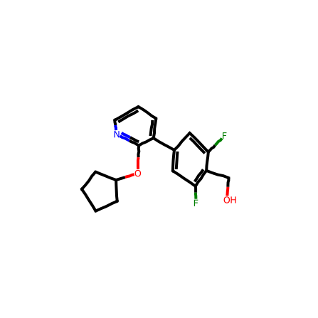 OCc1c(F)cc(-c2cccnc2OC2CCCC2)cc1F